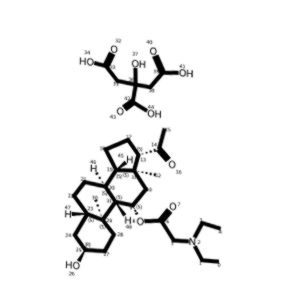 CCN(CC)CC(=O)O[C@H]1C[C@]2(C)[C@@H](C(C)=O)CC[C@H]2[C@@H]2CC[C@H]3C[C@H](O)CC[C@]3(C)[C@H]21.O=C(O)CC(O)(CC(=O)O)C(=O)O